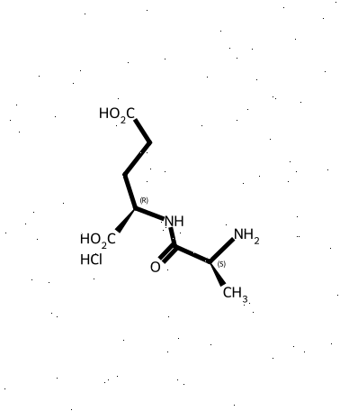 C[C@H](N)C(=O)N[C@H](CCC(=O)O)C(=O)O.Cl